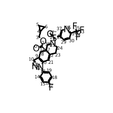 O=C(OCC1CC1)[C@]12Cc3cnn(-c4ccc(F)cc4)c3C=C1CCN([S+]([O-])c1ccc(C(F)(F)F)nc1)C2